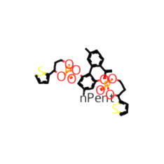 C=C(C)c1ccc(C)cc1-c1c(OP2(=O)OCCC(c3cccs3)O2)cc(CCCCC)cc1OP1(=O)OCCC(c2cccs2)O1